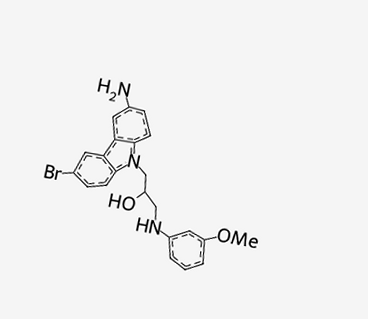 COc1cccc(NCC(O)Cn2c3ccc(N)cc3c3cc(Br)ccc32)c1